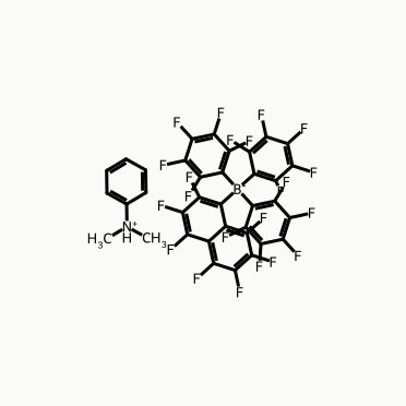 C[NH+](C)c1ccccc1.Fc1c(F)c(F)c([B-](c2c(F)c(F)c(F)c(F)c2F)(c2c(F)c(F)c(F)c(F)c2F)c2c(F)c(F)c(F)c3c(F)c(F)c(F)c(F)c23)c(F)c1F